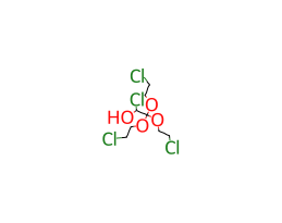 OC(Cl)C(OCCCl)(OCCCl)OCCCl